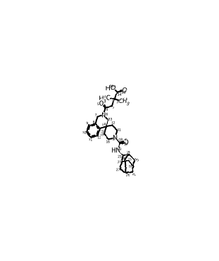 CC(C)(CC(=O)N1Cc2ccccc2C2(CCN(C(=O)NC3C4CC5CC(C4)CC3C5)CC2)C1)C(=O)O